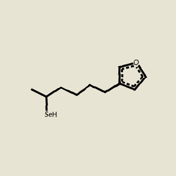 CC([SeH])CCCCc1ccoc1